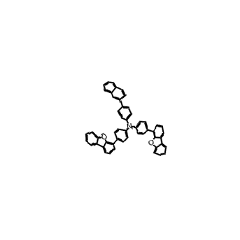 c1ccc2cc(-c3ccc(N(c4ccc(-c5cccc6c5oc5ccccc56)cc4)c4ccc(-c5cccc6c5oc5ccccc56)cc4)cc3)ccc2c1